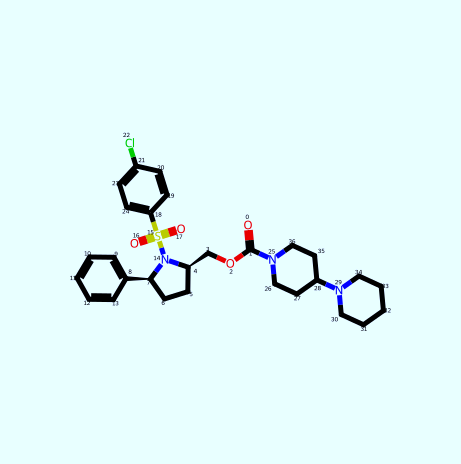 O=C(OC[C@H]1CC[C@@H](c2ccccc2)N1S(=O)(=O)c1ccc(Cl)cc1)N1CCC(N2CCCCC2)CC1